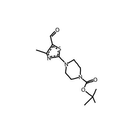 Cc1nc(N2CCN(C(=O)OC(C)(C)C)CC2)sc1C=O